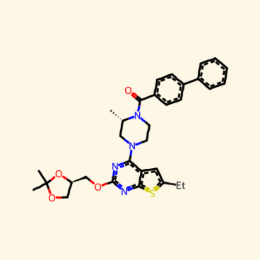 CCc1cc2c(N3CCN(C(=O)c4ccc(-c5ccccc5)cc4)[C@@H](C)C3)nc(OC[C@H]3COC(C)(C)O3)nc2s1